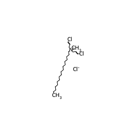 CCCCCCCCCCCCCCCCCC[N+](C)(CC=CCl)CC=CCl.[Cl-]